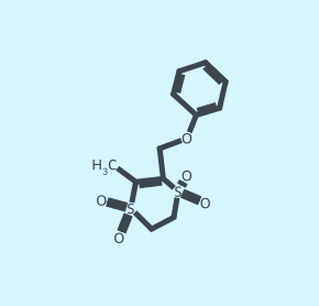 CC1=C(COc2ccccc2)S(=O)(=O)CCS1(=O)=O